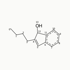 CCCCC1=Cc2ccccc2C1O